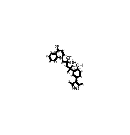 Cc1noc(C)c1-c1ccc(O)c(C(C)(C)CC(O)(Cn2ccc(=O)c3ccccc32)C(F)(F)F)c1